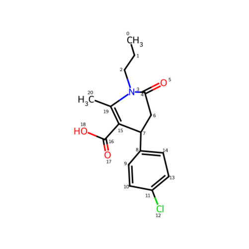 CCCN1C(=O)CC(c2ccc(Cl)cc2)C(C(=O)O)=C1C